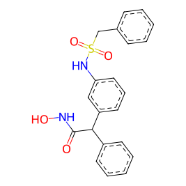 O=C(NO)C(c1ccccc1)c1cccc(NS(=O)(=O)Cc2ccccc2)c1